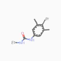 CCNC(=O)Nc1cc(C)c(C(C)C)c(C)c1